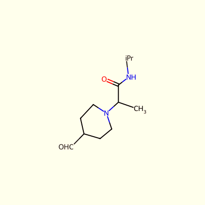 CC(C)NC(=O)C(C)N1CCC(C=O)CC1